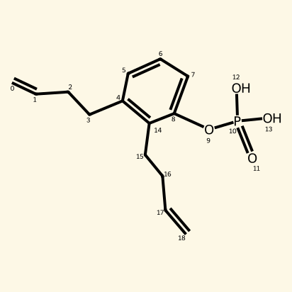 C=CCCc1cccc(OP(=O)(O)O)c1CCC=C